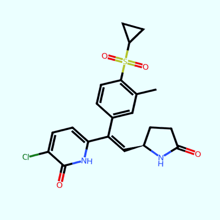 Cc1cc(/C(=C\[C@H]2CCC(=O)N2)c2ccc(Cl)c(=O)[nH]2)ccc1S(=O)(=O)C1CC1